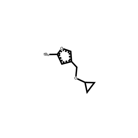 CC(C)(C)c1cc(COC2CC2)co1